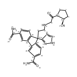 N#C[C@@H]1CCCN1C(=O)CNCCC1(c2nn[nH]n2)c2ccc(C(N)=O)cc2-c2cc(C(N)=O)ccc21